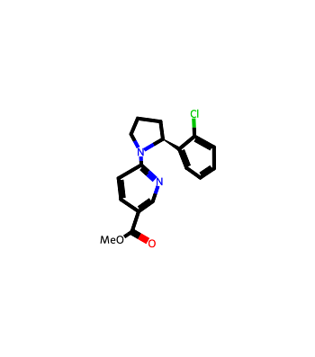 COC(=O)c1ccc(N2CCC[C@H]2c2ccccc2Cl)nc1